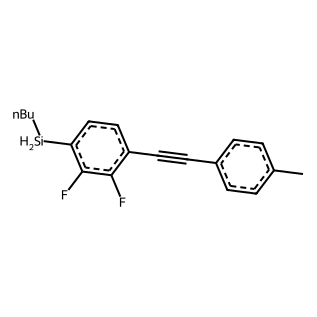 CCCC[SiH2]c1ccc(C#Cc2ccc(C)cc2)c(F)c1F